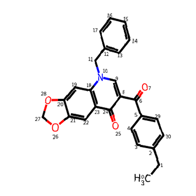 CCc1ccc(C(=O)c2cn(Cc3ccccc3)c3cc4c(cc3c2=O)OCO4)cc1